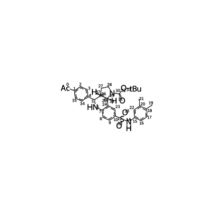 CC(=O)c1ccc(C2Nc3ccc(S(=O)(=O)Nc4ccc(C)c(C)c4)cc3[C@@H]3[C@H]2CCN3C(=O)OC(C)(C)C)cc1